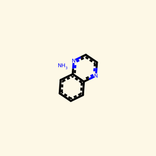 N.c1ccc2nccnc2c1